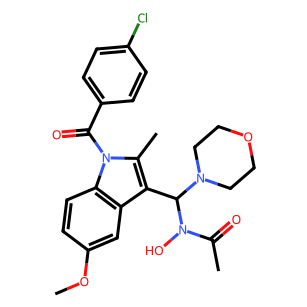 COc1ccc2c(c1)c(C(N1CCOCC1)N(O)C(C)=O)c(C)n2C(=O)c1ccc(Cl)cc1